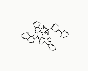 c1ccc(-c2cccc(-c3nc(-c4ccccc4)nc(-c4c(-n5c6ccccc6c6c7ccccc7ccc65)ccc5c4oc4ccccc45)n3)c2)cc1